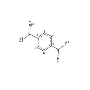 CCCC(CC)c1ccc(C(F)F)cc1